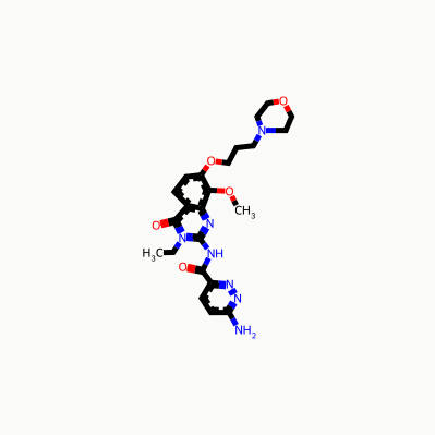 CCn1c(NC(=O)c2ccc(N)nn2)nc2c(OC)c(OCCCN3CCOCC3)ccc2c1=O